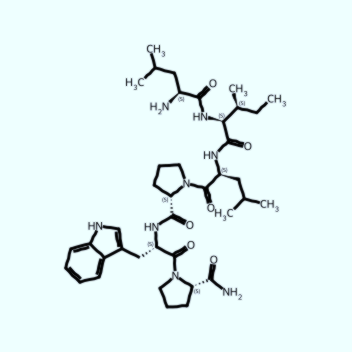 CC[C@H](C)[C@H](NC(=O)[C@@H](N)CC(C)C)C(=O)N[C@@H](CC(C)C)C(=O)N1CCC[C@H]1C(=O)N[C@@H](Cc1c[nH]c2ccccc12)C(=O)N1CCC[C@H]1C(N)=O